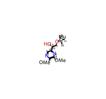 COc1ncc([C@H](O)CO[Si](C)(C)C(C)(C)C)nc1OC